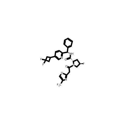 O=C(N[C@@H](c1ccccc1)c1ccc(C2CC(F)(F)C2)cn1)[C@@H]1C[C@@H](F)CN1C(=O)Cc1nc(C(F)(F)F)co1